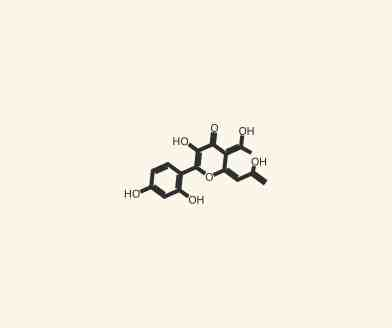 C=C(O)/C=c1/oc(-c2ccc(O)cc2O)c(O)c(=O)/c1=C(/C)O